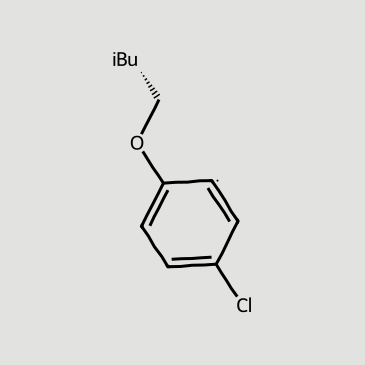 CC[C@@H](C)COc1[c]cc(Cl)cc1